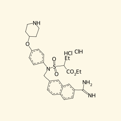 CCOC(=O)C(CC)S(=O)(=O)N(Cc1ccc2ccc(C(=N)N)cc2c1)c1ccc(OC2CCNCC2)cc1.Cl.Cl